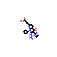 CCC(O)C#Cc1ccc2c(=O)c(-c3ncc[nH]3)c(N)n(C3CCCC3)c2n1